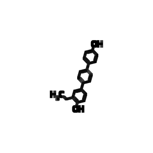 CCc1cc(-c2ccc(-c3ccc(O)cc3)cc2)ccc1O